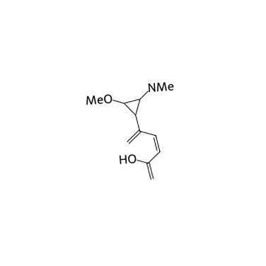 C=C(O)/C=C\C(=C)C1C(NC)C1OC